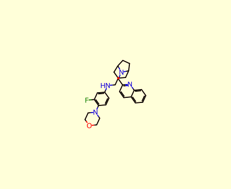 Fc1cc(NCC2CC3CCC(C2)N3Cc2ccc3ccccc3n2)ccc1N1CCOCC1